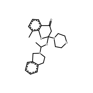 Cc1cccc2c1OC(OC(C)N1CCc3ccccc3C1)(N1CCOCC1)CC2=O